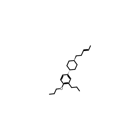 CC=CCC[C@H]1CC[C@H](c2ccc(OCCC)c(CCC)c2)CC1